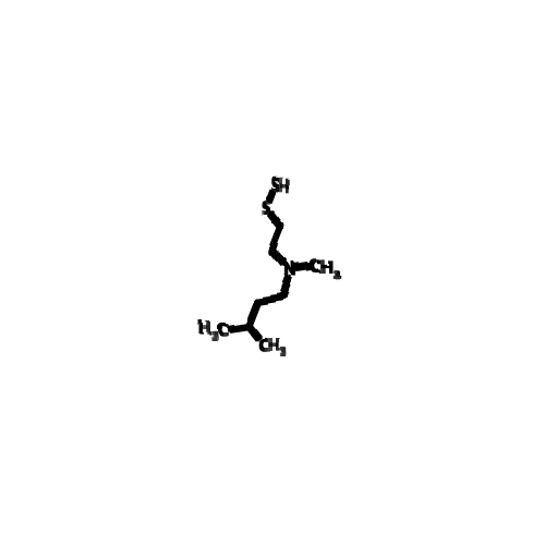 CC(C)CCN(C)CCSS